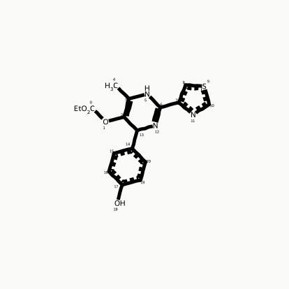 CCOC(=O)OC1=C(C)NC(c2cscn2)=NC1c1ccc(O)cc1